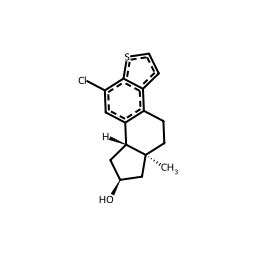 C[C@@]12CCc3c(cc(Cl)c4sccc34)[C@H]1C[C@H](O)C2